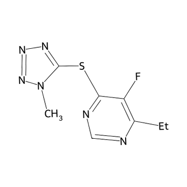 CCc1ncnc(Sc2nnnn2C)c1F